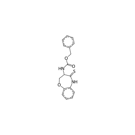 O=C(NC1COc2ccccc2NC1=S)OCc1ccccc1